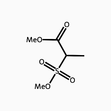 COC(=O)C(C)S(=O)(=O)OC